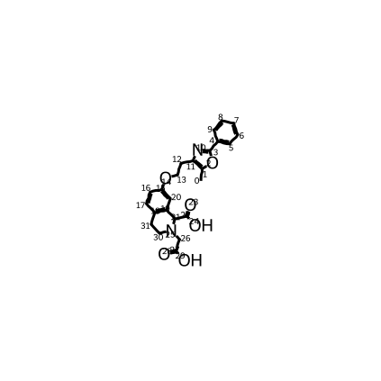 Cc1oc(-c2ccccc2)nc1CCOc1ccc2c(c1)C(C(=O)O)N(CC(=O)O)CC2